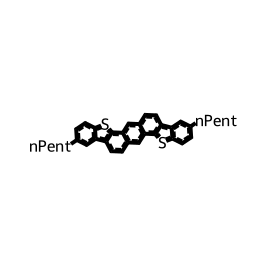 CCCCCc1ccc2sc3c4cc5ccc6c7cc(CCCCC)ccc7sc6c5cc4ccc3c2c1